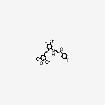 COc1cc(NC=CC(=O)c2ccc(F)cc2)c(C=Cc2cc(OC)c(OC)c(OC)c2)cc1F